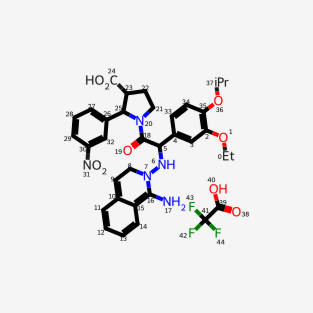 CCOc1cc(C(NN2CC=c3ccccc3=C2N)C(=O)N2CCC(C(=O)O)C2c2cccc([N+](=O)[O-])c2)ccc1OC(C)C.O=C(O)C(F)(F)F